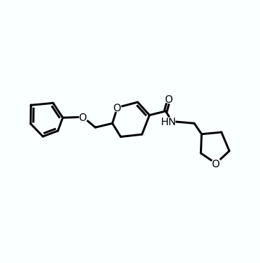 O=C(NCC1CCOC1)C1=COC(COc2ccccc2)CC1